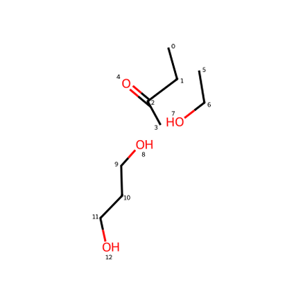 CCC(C)=O.CCO.OCCCO